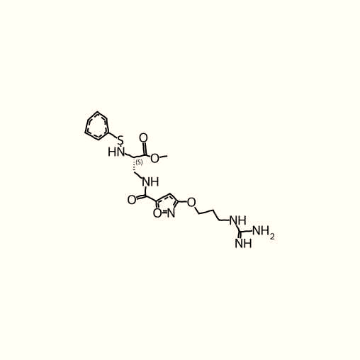 COC(=O)[C@H](CNC(=O)c1cc(OCCCNC(=N)N)no1)NSc1ccccc1